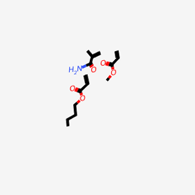 C=C(C)C(N)=O.C=CC(=O)OC.C=CC(=O)OCCCC